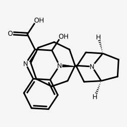 O=C(O)C1=Nc2ccccc2N([C@H]2C[C@H]3CC[C@@H](C2)N3C2CCCCCCC2)C1O